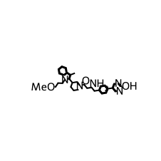 COCCCn1c(C2CCCN(C(=O)C[C@H](N)Cc3ccc(-c4cnc(O)nc4)cc3)C2)c(C)c2ccccc21